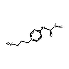 CCCCNC(=O)Nc1ccc(CCCC(=O)O)cc1